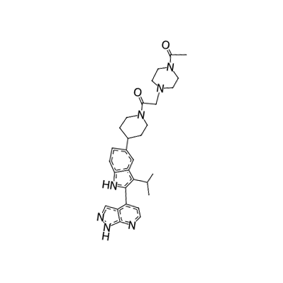 CC(=O)N1CCN(CC(=O)N2CCC(c3ccc4[nH]c(-c5ccnc6[nH]ncc56)c(C(C)C)c4c3)CC2)CC1